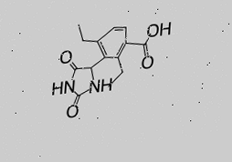 CCc1ccc(C(=O)O)c(CC)c1C1NC(=O)NC1=O